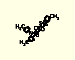 Cc1ccc(-n2c3cc(C)ccc3c3sc4c5oc6c(sc7c8ccc(C)cc8sc67)c5oc4c32)cc1